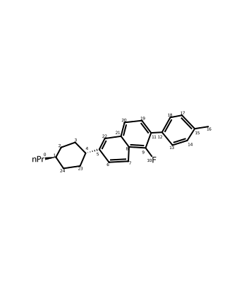 CCC[C@H]1CC[C@H](c2ccc3c(F)c(-c4ccc(C)cc4)ccc3c2)CC1